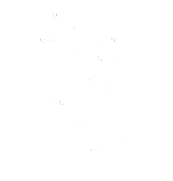 COc1cc2ncn(-c3cc(OCc4c(Cl)cccc4Cl)c(C(N)=O)s3)c2cc1OC